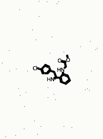 COC(=O)CNc1ccccc1C(=N)Cc1ccc(Cl)cc1